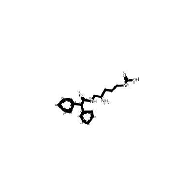 N[C@@H](CCCNC(=O)O)CNC(=O)C(c1ccccc1)c1ccccc1